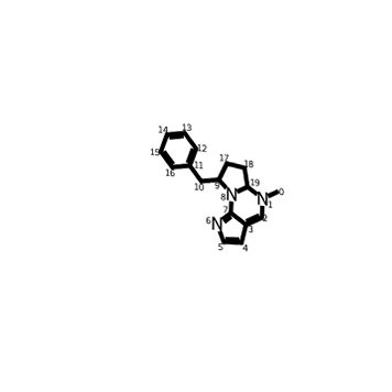 CN1C=C2C=CN=C2N2C(Cc3ccccc3)CCC12